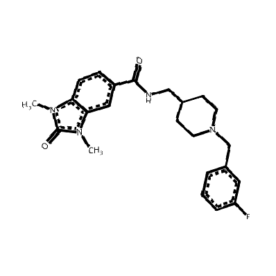 Cn1c(=O)n(C)c2cc(C(=O)NCC3CCN(Cc4cccc(F)c4)CC3)ccc21